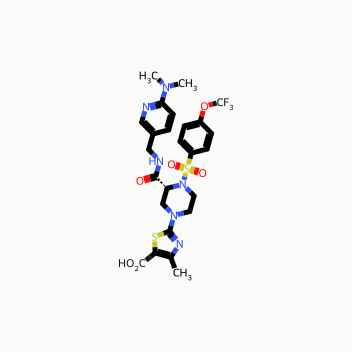 Cc1nc(N2CCN(S(=O)(=O)c3ccc(OC(F)(F)F)cc3)[C@@H](C(=O)NCc3ccc(N(C)C)nc3)C2)sc1C(=O)O